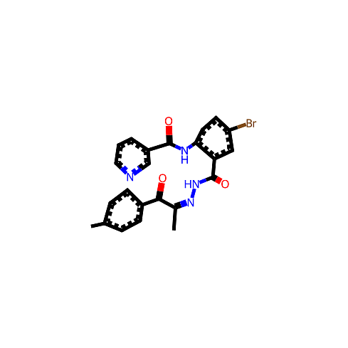 C/C(=N/NC(=O)c1cc(Br)ccc1NC(=O)c1cccnc1)C(=O)c1ccc(C)cc1